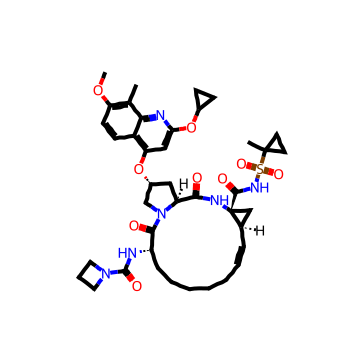 COc1ccc2c(O[C@@H]3C[C@H]4C(=O)N[C@]5(C(=O)NS(=O)(=O)C6(C)CC6)C[C@H]5C=CCCCCC[C@H](NC(=O)N5CCC5)C(=O)N4C3)cc(OC3CC3)nc2c1C